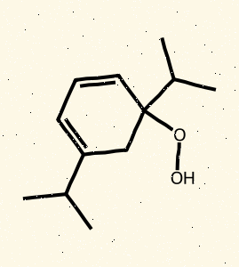 CC(C)C1=CC=CC(OO)(C(C)C)C1